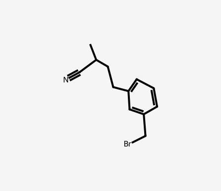 CC(C#N)CCc1cccc(CBr)c1